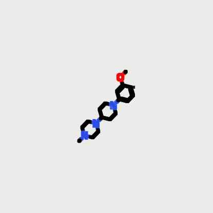 COc1[c]ccc(N2CCC(N3CCN(C)CC3)CC2)c1